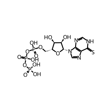 O=P(O)(O)OP(=O)(O)OP(=O)(O)OC[C@H]1O[C@@H](n2cnc3c(=S)[nH]cnc32)[C@H](O)[C@@H]1O